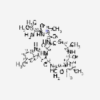 C=C1NC(=O)C(Cc2c[nH]c3ccc(C)cc23)NC(=O)C(NC(=O)/C(=C\C)NC(=O)C(N)C(C)C)CSCC(C)NC(=O)C(CC(C)C)NC1=O